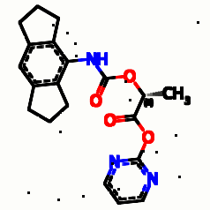 C[C@@H](OC(=O)Nc1c2c(cc3c1CCC3)CCC2)C(=O)Oc1ncccn1